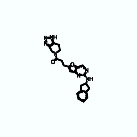 O=C(CCc1cc2nc(NC3Cc4ccccc4C3)ncc2o1)N1CCc2[nH]nnc2C1